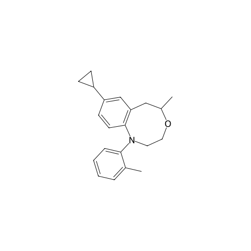 Cc1ccccc1N1CCOC(C)Cc2cc(C3CC3)ccc21